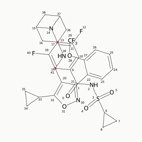 O=C(NS(=O)(=O)C1CC1)c1cc(F)c(N2C3CC(NCc4c(-c5ccccc5OC(F)(F)F)noc4C4CC4)CC2C3)c(F)c1